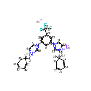 CC1(C[n+]2ccn(-c3cc(-n4cc[n+](CC5(C)C=CC=CC5)c4)cc(C(F)(F)F)c3)c2)C=CC=CC1.[I-].[I-]